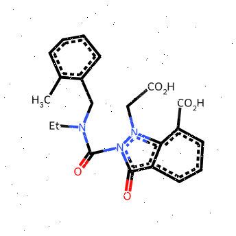 CCN(Cc1ccccc1C)C(=O)n1c(=O)c2cccc(C(=O)O)c2n1CC(=O)O